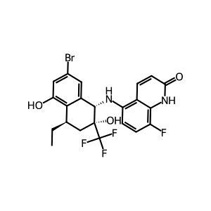 CC[C@@H]1C[C@](O)(C(F)(F)F)[C@@H](Nc2ccc(F)c3[nH]c(=O)ccc23)c2cc(Br)cc(O)c21